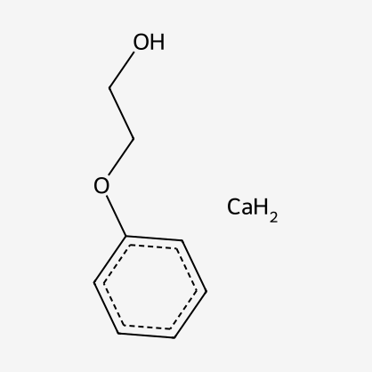 OCCOc1ccccc1.[CaH2]